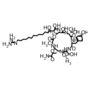 CC1OC(=O)[C@@H](C)NC(=O)[C@@H](CCC(N)=O)NC(=O)[C@@H]([C@H](C)O)NC(=O)C(Cc2ccc(O)cc2)NC(=O)[C@@H](C(C)C)NC(=O)[C@H]1NC(=O)CC(O)CCCCCCCCCCCCN=C(N)N